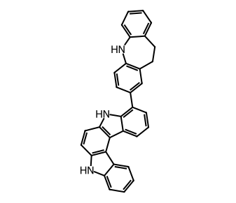 c1ccc2c(c1)CCc1cc(-c3cccc4c3[nH]c3ccc5[nH]c6ccccc6c5c34)ccc1N2